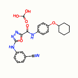 N#Cc1cccc(Nc2nnc(C(=O)Nc3ccc(OC4CCCCC4)cc3)o2)c1.O=C(O)O